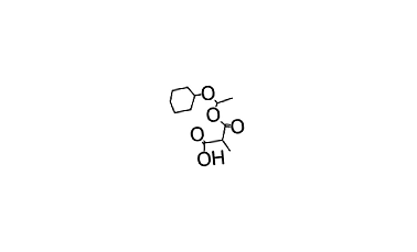 CC(OC(=O)C(C)C(=O)O)OC1CCCCC1